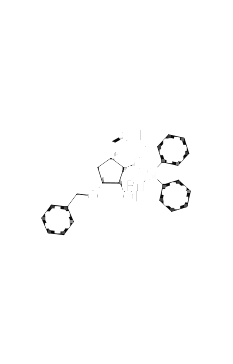 C=C[C@H]1C[C@H](OCc2ccccc2)[C@H](O)[C@@H]1O[Si](c1ccccc1)(c1ccccc1)C(C)(C)C